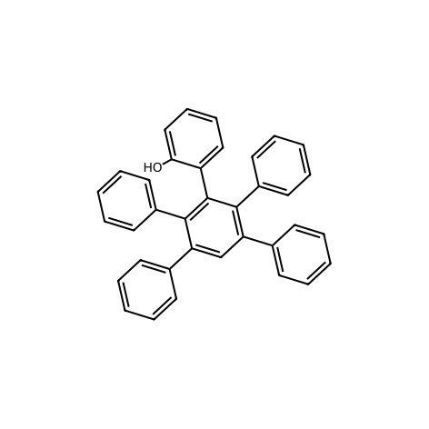 Oc1ccccc1-c1c(-c2ccccc2)c(-c2ccccc2)cc(-c2ccccc2)c1-c1ccccc1